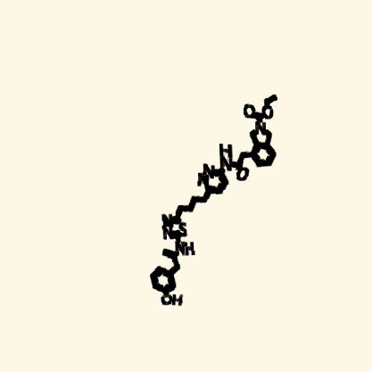 C=C(Cc1cccc(O)c1)Nc1nnc(CCCCc2ccc(NC(=O)Cc3cccc4c3CN(C(=O)OCC)C4)nn2)s1